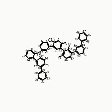 Cc1cc2oc3ccc(-n4c5ccccc5c5cc(-c6ccccc6)ccc54)cc3c2cc1-c1c(C)ccc(-c2cccc(-c3ccccc3)c2)c1C